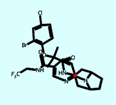 CC(C)(Oc1ccc(Cl)cc1Br)C(=O)NC1CC2CCC(C1)N2c1ccc(C(=O)NCC(F)(F)F)cn1